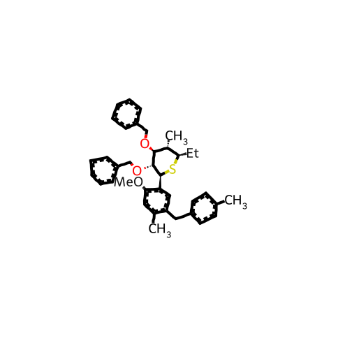 CC[C@H]1S[C@@H](c2cc(Cc3ccc(C)cc3)c(C)cc2OC)[C@H](OCc2ccccc2)[C@@H](OCc2ccccc2)[C@@H]1C